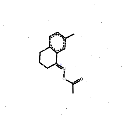 CC(=O)O/N=C1\CCCc2ccc(C)cc21